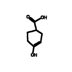 O=C(O)C1CC=C(O)CC1